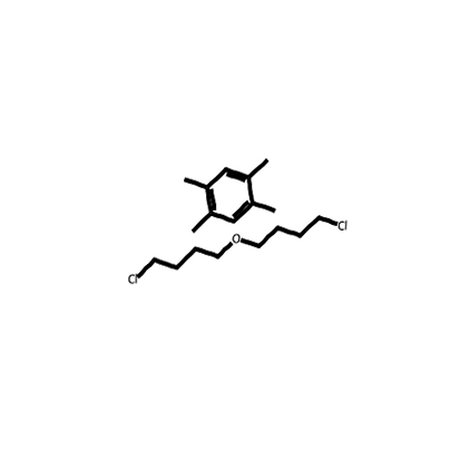 Cc1cc(C)c(C)cc1C.ClCCCCOCCCCCl